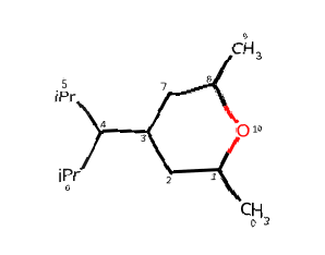 CC1CC(C(C(C)C)C(C)C)CC(C)O1